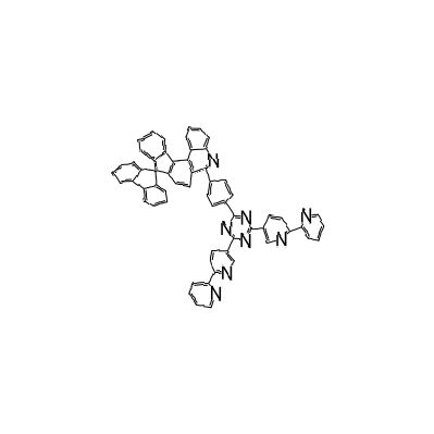 c1ccc(-c2ccc(-c3nc(-c4ccc(-c5nc6ccccc6c6c7c(ccc56)C5(c6ccccc6-c6ccccc65)c5ccccc5-7)cc4)nc(-c4ccc(-c5ccccn5)nc4)n3)cn2)nc1